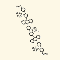 COc1ccc2c(c1)C(C)(C)c1cc(-c3c4ccccc4c(-c4ccc5c(c4)C(C)(C)c4cc(-c6c7ccccc7c(-c7ccc8c(c7)C(C)(C)c7cc(OC)ccc7-8)c7ccccc67)ccc4-5)c4ccccc34)ccc1-2